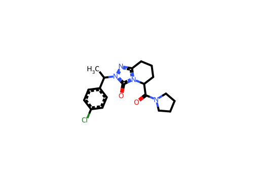 CC(c1ccc(Cl)cc1)n1nc2n(c1=O)C(C(=O)N1CCCC1)CCC2